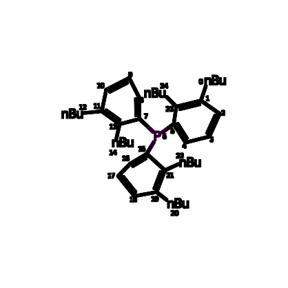 CCCCc1cccc(P(c2cccc(CCCC)c2CCCC)c2cccc(CCCC)c2CCCC)c1CCCC